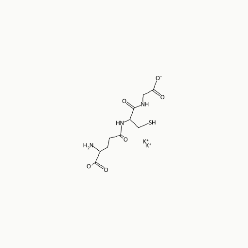 NC(CCC(=O)NC(CS)C(=O)NCC(=O)[O-])C(=O)[O-].[K+].[K+]